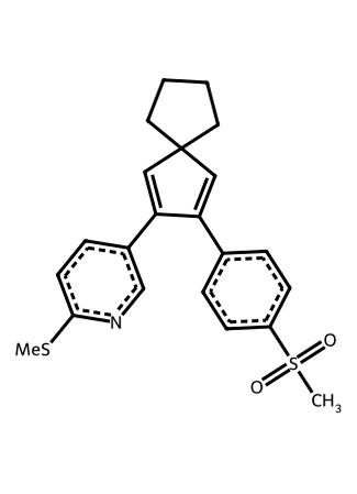 CSc1ccc(C2=CC3(C=C2c2ccc(S(C)(=O)=O)cc2)CCCC3)cn1